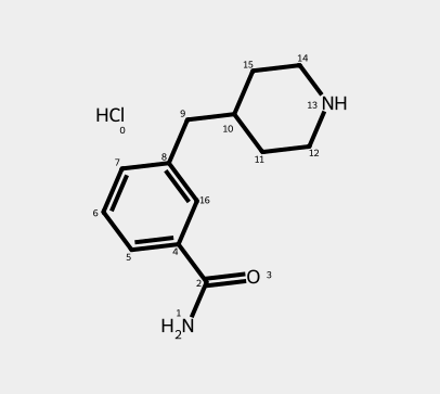 Cl.NC(=O)c1cccc(CC2CCNCC2)c1